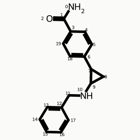 NC(=O)c1ccc(C2CC2NCc2ccccc2)cc1